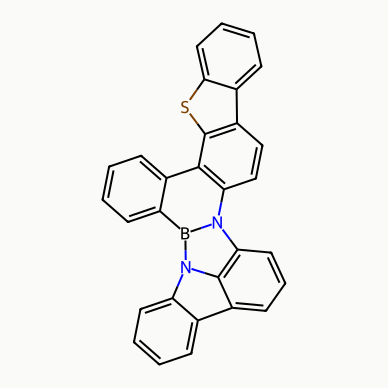 c1ccc2c(c1)B1N(c3ccc4c(sc5ccccc54)c3-2)c2cccc3c4ccccc4n1c23